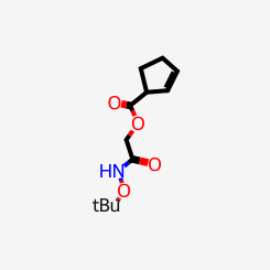 CC(C)(C)ONC(=O)COC(=O)C1C=CCC1